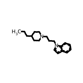 CCCC1CCN(CCCn2ccc3ccccc32)CC1